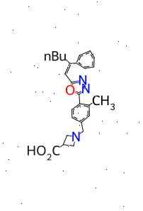 CCCC/C(=C/c1nnc(-c2ccc(CN3CC(C(=O)O)C3)cc2C)o1)c1ccccc1